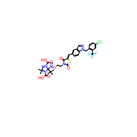 CC(C)(C)N(C(=O)O)C(NOCCN1C(=O)S/C(=C\c2ccc3c(cnn3Cc3ccc(Cl)cc3C(F)(F)F)c2)C1=O)(NC(=O)O)C(C)(C)C